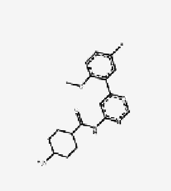 COc1ccc(F)cc1-c1cc(NC(=O)C2CCC(N)CC2)ncn1